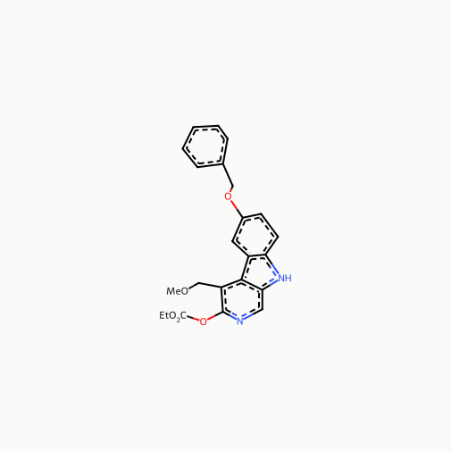 CCOC(=O)Oc1ncc2[nH]c3ccc(OCc4ccccc4)cc3c2c1COC